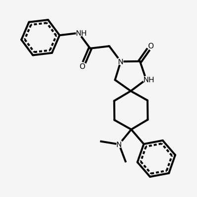 CN(C)C1(c2ccccc2)CCC2(CC1)CN(CC(=O)Nc1ccccc1)C(=O)N2